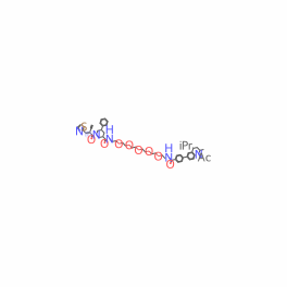 C#C/C(=C\c1nccs1)C(=O)N1CC(C(=O)NCCOCCOCCOCCOCCOCCNC(=O)c2ccc(-c3ccc4c(c3)C(C(C)C)CC(C)N4C(C)=O)cc2)CC(c2ccccc2)C1